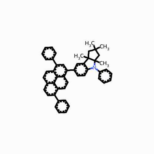 CC1(C)CC2(C)c3cc(-c4cc(-c5ccccc5)c5ccc6ccc(-c7ccccc7)c7ccc4c5c67)ccc3N(c3ccccc3)C2(C)C1